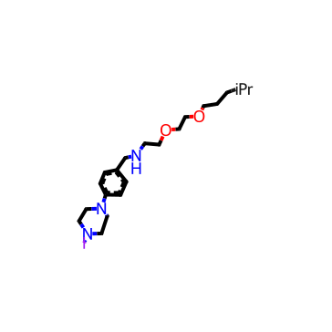 CC(C)CCCOCCOCCNCc1ccc(N2CCN(I)CC2)cc1